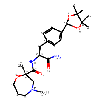 CC1(C)OB(c2ccc(C[C@H](NC(=O)[C@]3(C(C)(C)C)CN(C(=O)O)CCCO3)C(N)=O)cc2)OC1(C)C